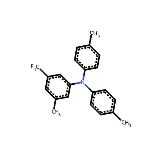 Cc1ccc(N(c2ccc(C)cc2)c2cc(C(F)(F)F)cc(C(F)(F)F)c2)cc1